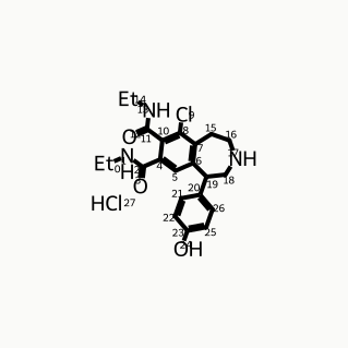 CCNC(=O)c1cc2c(c(Cl)c1C(=O)NCC)CCNCC2c1ccc(O)cc1.Cl